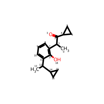 CC(C(=O)C1CC1)c1cccc(C(C)C2CC2)c1O